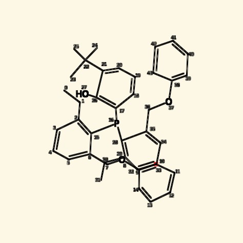 CCc1cccc(COc2ccccc2)c1P(c1cccc(C(C)(C)C)c1O)c1c(CC)cccc1COc1ccccc1